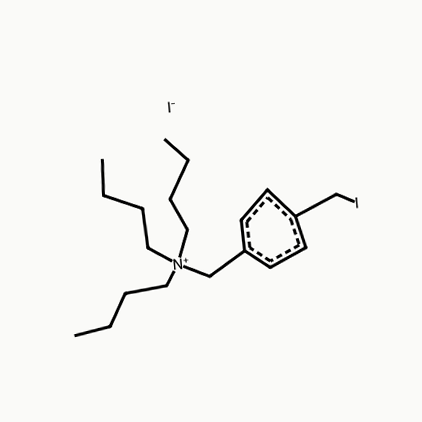 CCCC[N+](CCCC)(CCCC)Cc1ccc(CI)cc1.[I-]